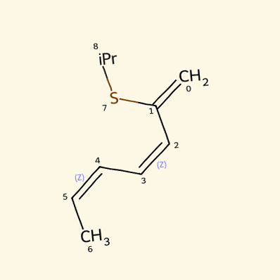 C=C(/C=C\C=C/C)SC(C)C